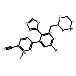 N#Cc1ccc(-c2cc(F)cc(CC3CNCCO3)c2-c2cnco2)cc1F